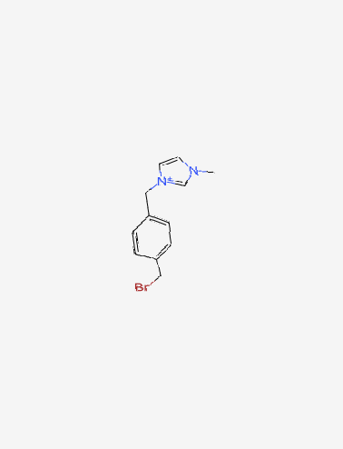 Cn1cc[n+](Cc2ccc(CBr)cc2)c1